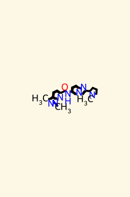 Cc1nn(C)c2nc(C(=O)Nc3ccc4nc(C5CCCN5C)cn4c3)ccc12